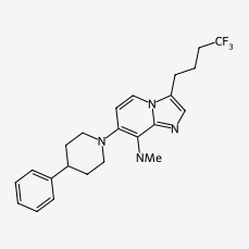 CNc1c(N2CCC(c3ccccc3)CC2)ccn2c(CCCC(F)(F)F)cnc12